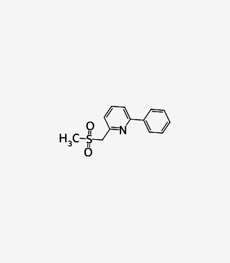 CS(=O)(=O)Cc1cccc(-c2ccccc2)n1